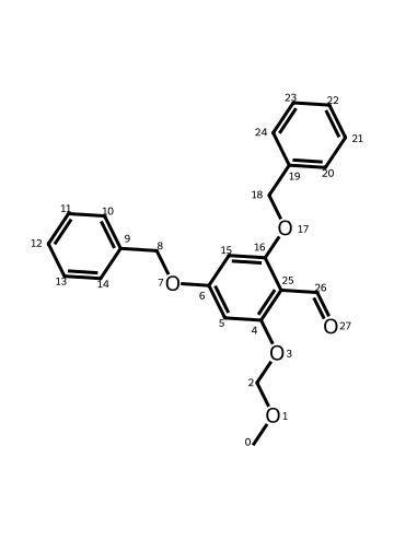 COCOc1cc(OCc2ccccc2)cc(OCc2ccccc2)c1C=O